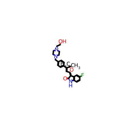 CC1(C)O/C(=C2/C(=O)Nc3ccc(F)cc32)C=C1c1ccc(CN2CCN(CCO)CC2)cc1